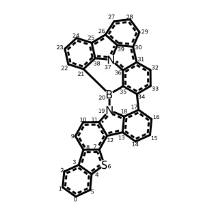 c1ccc2c(c1)sc1c2ccc2c1c1cccc3c1n2B1c2cccc4c5cccc6c7ccc-3c1c7n(c24)c56